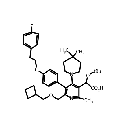 Cc1nc(COCC2CCC2)c(-c2ccc(OCCc3ccc(F)cc3)cc2)c(N2CCC(C)(C)CC2)c1C(OC(C)(C)C)C(=O)O